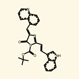 CC(C)(C)OC(=O)N1C(=O)/C(=C/c2cccc3ncccc23)N=C1/C=C/c1c[nH]c2ccccc12